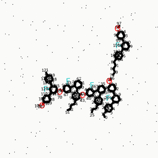 CCC12CCC(c3cccc(-c4ccc(OC)cc4)c3F)(CC1)CC2.CCCC12CCC(c3ccccc3-c3ccc(OC)cc3F)(CC1)CC2.CCCCC12CCC(c3ccccc3-c3ccc(OC)cc3F)(CC1)CC2.CCCCCC12CCC(c3cccc(-c4ccc(OC)cc4)c3F)(CC1)CC2.COc1ccc(-c2cccc(C34CCC(C)(CC3)CC4)c2F)cc1